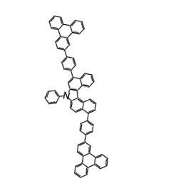 c1ccc(-n2c3ccc4c(-c5ccc(-c6ccc7c8ccccc8c8ccccc8c7c6)cc5)cccc4c3c3c4ccccc4c(-c4ccc(-c5ccc6c7ccccc7c7ccccc7c6c5)cc4)cc32)cc1